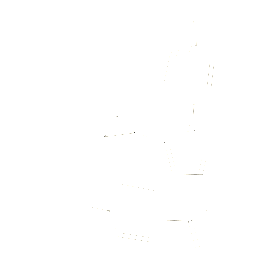 Cc1nn(-c2ccc(N)cc2)c(C2CC2)c1-c1cc(OC(F)(F)F)ccc1C(N)=O